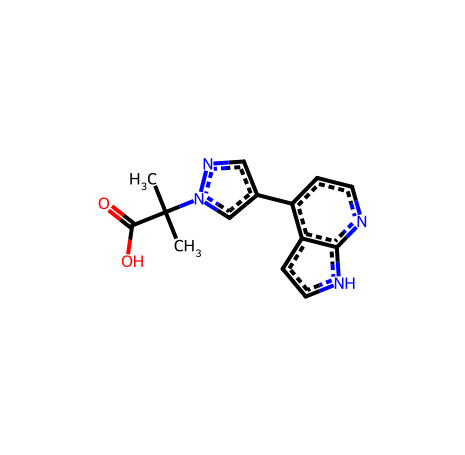 CC(C)(C(=O)O)n1cc(-c2ccnc3[nH]ccc23)cn1